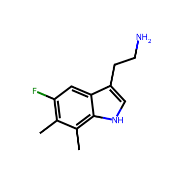 Cc1c(F)cc2c(CCN)c[nH]c2c1C